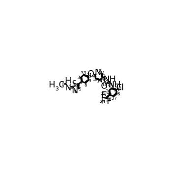 CCNc1ncc(-c2ccc(Oc3ccc(NC(=O)Nc4cc(C(F)(F)F)ccc4Cl)cn3)cc2)s1